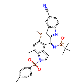 CSc1cc(C)c2c(ccn2S(=O)(=O)c2ccc(C)cc2)c1C(=N[S+]([O-])C(C)(C)C)C1=Nc2ccc(C#N)cc2C1